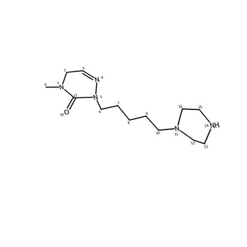 CN1CC=NN(CCCCCN2CCNCC2)C1=O